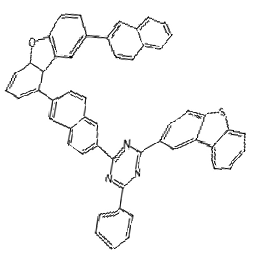 C1=CC2Oc3ccc(-c4ccc5ccccc5c4)cc3C2C(c2ccc3cc(-c4nc(-c5ccccc5)nc(-c5ccc6sc7ccccc7c6c5)n4)ccc3c2)=C1